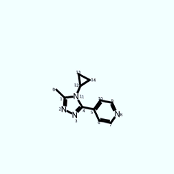 Cc1nnc(-c2ccncc2)n1C1CC1